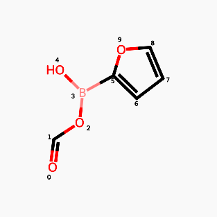 O=COB(O)c1ccco1